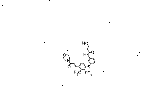 O=C(CCO)Nc1cccc(Sc2ccc(C=CC(=O)N3CCOCC3)c(C(F)(F)F)c2C(F)(F)F)c1